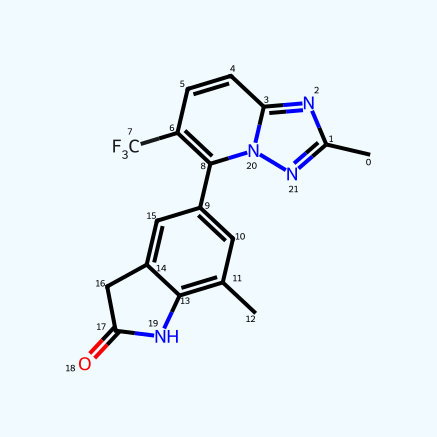 Cc1nc2ccc(C(F)(F)F)c(-c3cc(C)c4c(c3)CC(=O)N4)n2n1